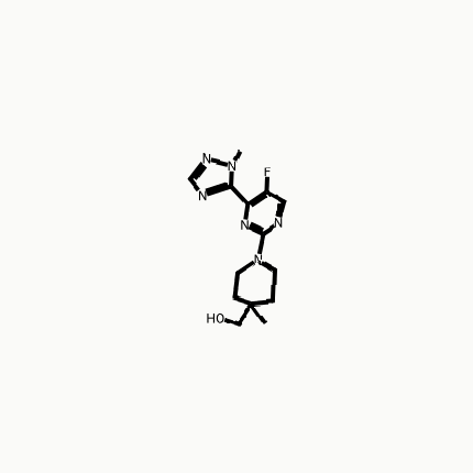 Cn1ncnc1-c1nc(N2CCC(C)(CO)CC2)ncc1F